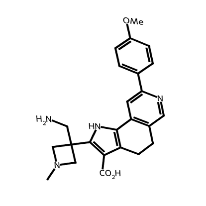 COc1ccc(-c2cc3c(cn2)CCc2c-3[nH]c(C3(CN)CN(C)C3)c2C(=O)O)cc1